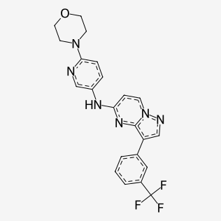 FC(F)(F)c1cccc(-c2cnn3ccc(Nc4ccc(N5CCOCC5)nc4)nc23)c1